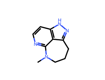 CN1CCCc2n[nH]c3ccnc1c23